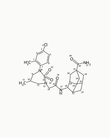 Cc1cc(Cl)ccc1N1CC(C)CN(CC(=O)NC2C3CC4CC2CC(C(N)=O)(C4)C3)S1(=O)=O